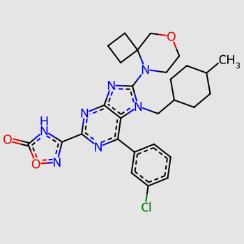 CC1CCC(Cn2c(N3CCOCC34CCC4)nc3nc(-c4noc(=O)[nH]4)nc(-c4cccc(Cl)c4)c32)CC1